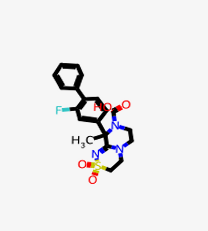 CC1(c2ccc(-c3ccccc3)c(F)c2)C2=NS(=O)(=O)CCN2CCN1C(=O)O